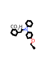 C#CCOc1ccc(N(c2ccccc2)[C@@H](Cc2ccccc2)C(=O)O)cc1